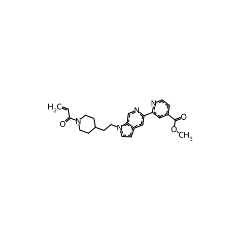 C=CC(=O)N1CCC(CCn2ccc3cc(-c4cc(C(=O)OC)ccn4)ncc32)CC1